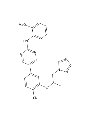 COc1ccccc1Nc1ncc(-c2ccc(C#N)c(OC(C)Cn3cncn3)c2)cn1